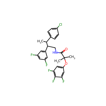 CC(c1ccc(Cl)cc1)C(CNC(=O)C(C)(C)Oc1cc(F)c(F)c(F)c1)c1cc(F)cc(F)c1